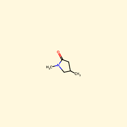 C[C]1CC(=O)N(C)C1